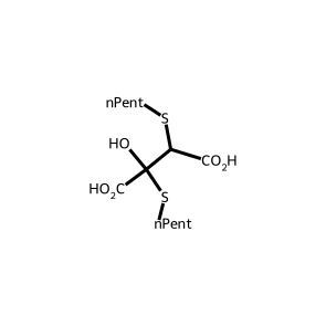 CCCCCSC(C(=O)O)C(O)(SCCCCC)C(=O)O